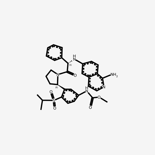 COC(=O)Nc1ccc(S(=O)(=O)C(C)C)c([C@H]2CCCN2C(=O)[C@@H](Nc2ccc3c(N)nccc3c2)c2ccccc2)c1